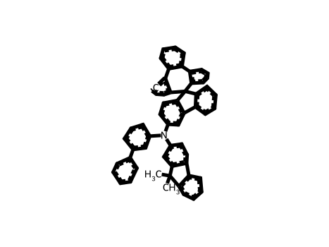 CC1(C)c2ccccc2-c2ccc(N(c3cccc(-c4ccccc4)c3)c3ccc4c(c3)-c3ccccc3C43c4ccccc4-c4ccccc4-c4ccccc43)cc21